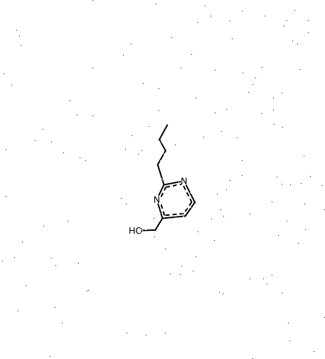 CCCCc1nccc(CO)n1